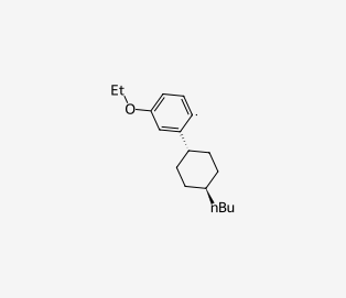 CCCC[C@H]1CC[C@H](c2[c]ccc(OCC)c2)CC1